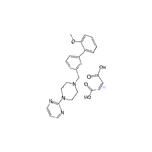 COc1ccccc1-c1cccc(CN2CCN(c3ncccn3)CC2)c1.O=C(O)/C=C\C(=O)O